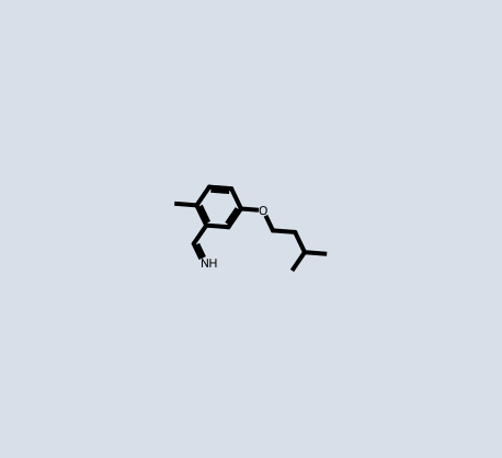 Cc1ccc(OCCC(C)C)cc1C=N